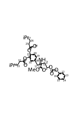 COC(=O)[C@@](N)(CCOC(=O)Oc1ccccc1)Cc1ccc(OC(=O)CCC(C)C)c(OC(=O)CCC(C)C)c1